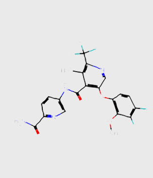 COc1c(Oc2cnc(C(F)(F)F)c(C)c2C(=O)Nc2ccc(C(N)=O)nc2)ccc(F)c1F